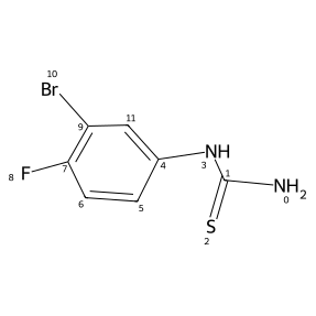 NC(=S)Nc1ccc(F)c(Br)c1